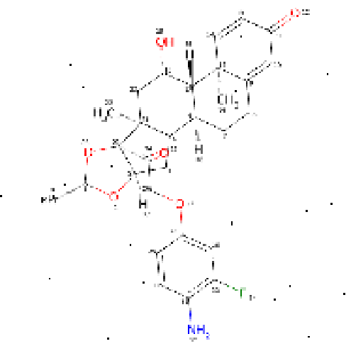 CCC[C@H]1O[C@@H]2CC3[C@@H]4CCC5=CC(=O)C=C[C@]5(C)[C@H]4[C@@H](O)C[C@]3(C)[C@]2(C(=O)COc2ccc(N)c(F)c2)O1